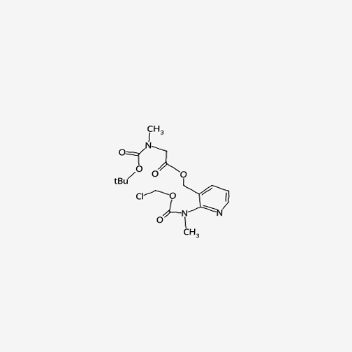 CN(CC(=O)OCc1cccnc1N(C)C(=O)OCCl)C(=O)OC(C)(C)C